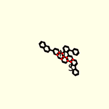 c1ccc(-c2ccccc2-c2c(-c3ccccc3)cccc2N(c2ccc(-c3ccc4ccccc4c3)cc2)c2cccc(-c3cccc4c3sc3ccccc34)c2)cc1